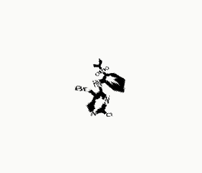 CC(C)S(=O)(=O)c1ccccc1Nc1nc(Cl)ncc1Br